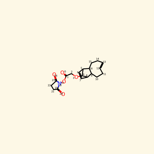 O=C(COC1C2C=CC1C1CC/C=C/CCC21)ON1C(=O)CCC1=O